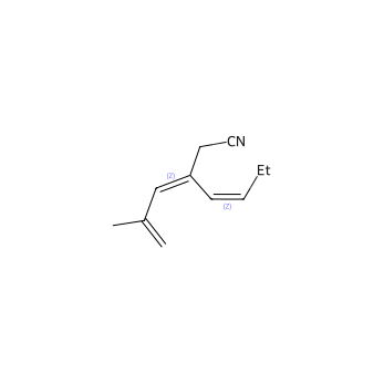 C=C(C)/C=C(\C=C/CC)CC#N